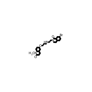 Cn1c(=O)ccc2cc(OCCCNCCn3ccc4ccc(Br)cc4c3=O)ccc21